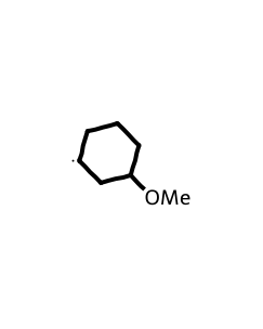 COC1C[CH]CCC1